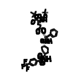 CC(C)(C)OC(=O)N[C@@H](CCC(=O)OC[C@@H](NC(=O)[C@H]1CC[C@H](NS(=O)(=O)c2ccc(C(F)(F)F)cc2)CC1)c1ccccc1)C(=O)OC(C)(C)C